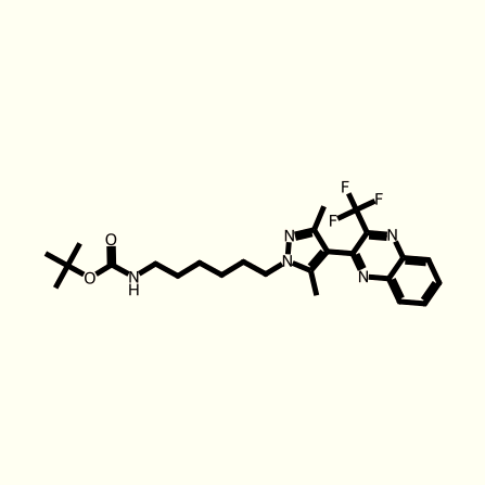 Cc1nn(CCCCCCNC(=O)OC(C)(C)C)c(C)c1-c1nc2ccccc2nc1C(F)(F)F